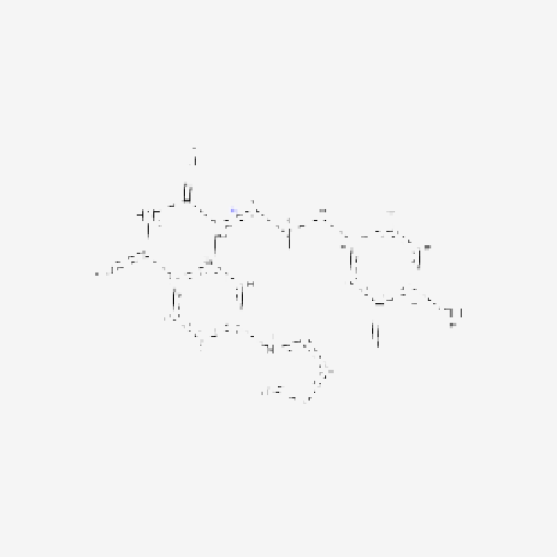 O=C1NC(=O)c2ccc(-n3cccc3)cc2/C1=C\NCc1cc(=O)c(O)co1